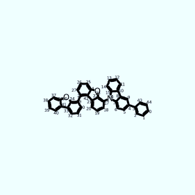 c1ccc(-c2ccc3c(c2)c2ccccc2n3-c2cccc3c2oc2cccc(-c4cccc5c4oc4ccccc45)c23)cc1